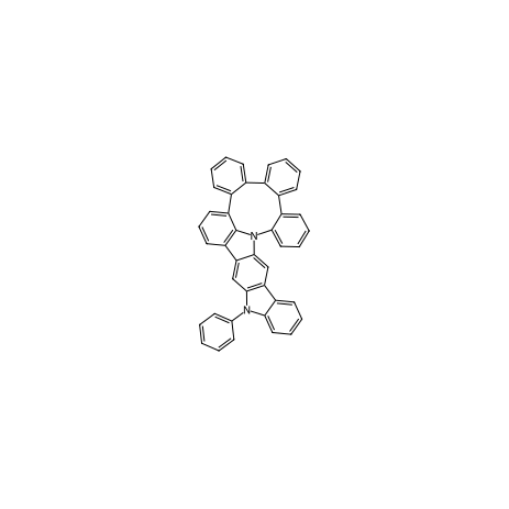 c1ccc(-n2c3ccccc3c3cc4c(cc32)c2cccc3c5ccccc5c5ccccc5c5ccccc5n4c32)cc1